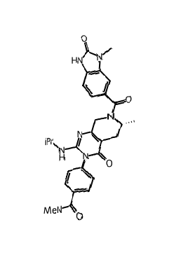 CNC(=O)c1ccc(-n2c(NC(C)C)nc3c(c2=O)C[C@@H](C)N(C(=O)c2ccc4[nH]c(=O)n(C)c4c2)C3)cc1